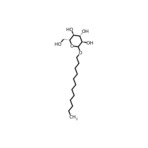 CCCCCCCCCCCCOC1O[C@H](CO)[C@@H](O)[C@H](O)[C@H]1O